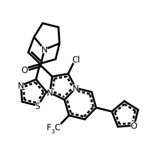 O=C(c1nc2c(C(F)(F)F)cc(-c3ccoc3)cn2c1Cl)N1C2C=C(c3cscn3)CC1CC2